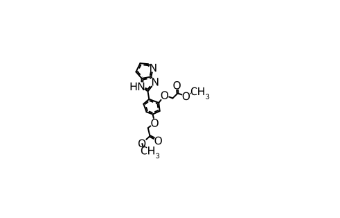 COC(=O)COc1ccc(-c2nc3ncccc3[nH]2)c(OCC(=O)OC)c1